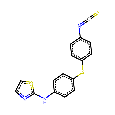 S=C=Nc1ccc(Sc2ccc(Nc3nccs3)cc2)cc1